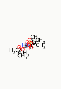 CCC(C)(C)C(=O)OCCNC(=O)OC1(C)C2(C)CC3C(C2C)C1(C)OS3(=O)=O